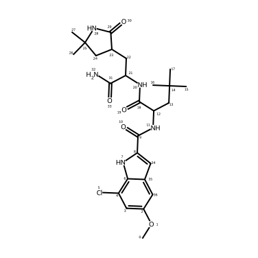 COc1cc(Cl)c2[nH]c(C(=O)NC(CC(C)(C)C)C(=O)NC(CC3CC(C)(C)NC3=O)C(N)=O)cc2c1